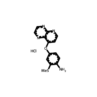 CSc1cc(Oc2ccnc3nccnc23)ccc1N.Cl